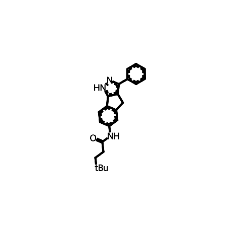 CC(C)(C)CCC(=O)Nc1ccc2c(c1)Cc1c(-c3ccccc3)n[nH]c1-2